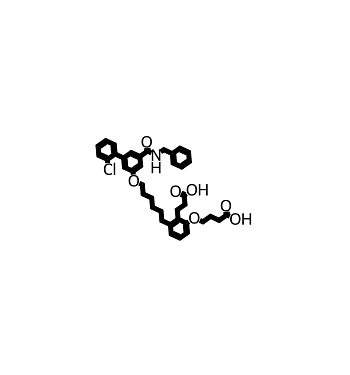 O=C(O)CCCOc1cccc(CCCCCCOc2cc(C(=O)NCc3ccccc3)cc(-c3ccccc3Cl)c2)c1CCC(=O)O